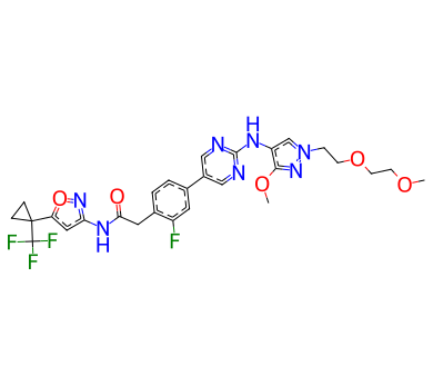 COCCOCCn1cc(Nc2ncc(-c3ccc(CC(=O)Nc4cc(C5(C(F)(F)F)CC5)on4)c(F)c3)cn2)c(OC)n1